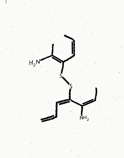 C=C/C=C(SSC(/C=C\C)=C(/C)N)\C(N)=C/C